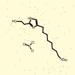 CCCCCCCCCCCCCCCCCCc1c[nH]c(CCO)n1.ClN(Cl)Cl